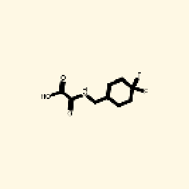 O=C(O)C(=O)NCC1CCC(F)(F)CC1